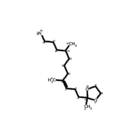 C/C(=C/CCC1(C)OCCO1)CCCC(C)CCCC(C)C